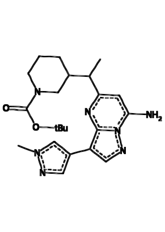 CC(c1cc(N)n2ncc(-c3cnn(C)c3)c2n1)C1CCCN(C(=O)OC(C)(C)C)C1